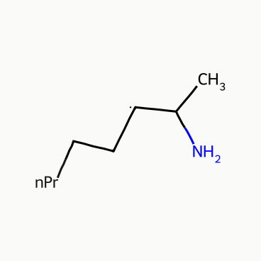 CCCCC[CH]C(C)N